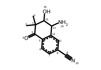 CC1(C)C(=O)c2ccc(C#N)cc2C(N)C1O